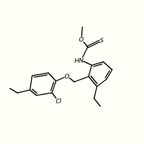 CCc1ccc(OCc2c(CC)cccc2NC(=S)OC)c(Cl)c1